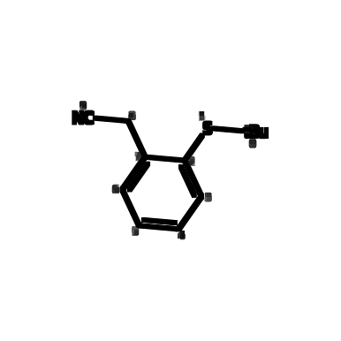 CC(C)(C)Sc1ccccc1CC#N